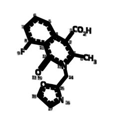 Cc1c(C(=O)O)c2cccc(F)c2c(=O)n1Cc1ncco1